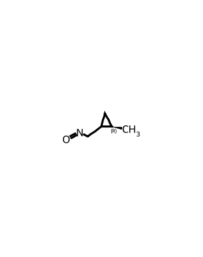 C[C@@H]1CC1CN=O